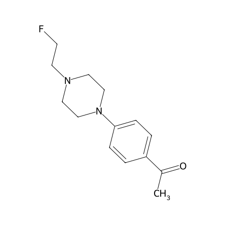 CC(=O)c1ccc(N2CCN(CCF)CC2)cc1